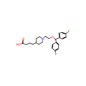 O=C(O)CCCC1CCN(CCOC(c2ccc(F)cc2)c2ccc(F)cc2)CC1